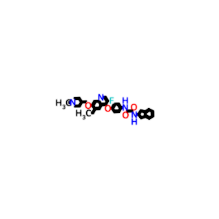 CCc1cc2c(Oc3ccc(NC(=O)C(=O)NC4Cc5ccccc5C4)cc3F)ccnc2cc1OCC1CCN(C)CC1